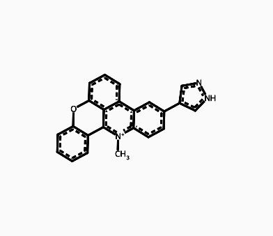 C[n+]1c2c3c(cccc3c3cc(-c4cn[nH]c4)ccc31)Oc1ccccc1-2